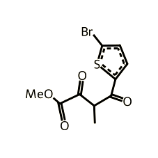 COC(=O)C(=O)C(C)C(=O)c1ccc(Br)s1